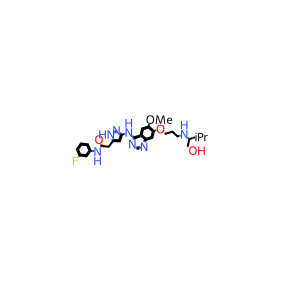 COc1cc2c(Nc3cc(CC(=O)Nc4cccc(F)c4)[nH]n3)ncnc2cc1OCCCNC(CO)C(C)C